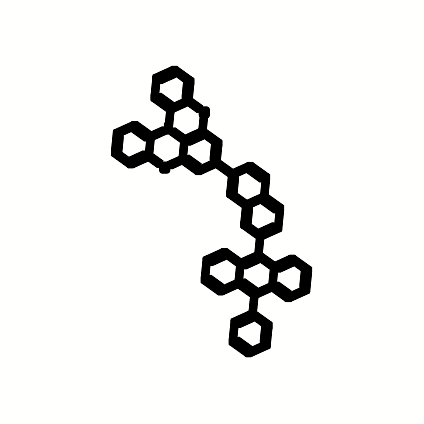 c1ccc(-c2c3ccccc3c(-c3ccc4ccc(-c5cc6c7c(c5)Oc5ccccc5B7c5ccccc5O6)cc4c3)c3ccccc23)cc1